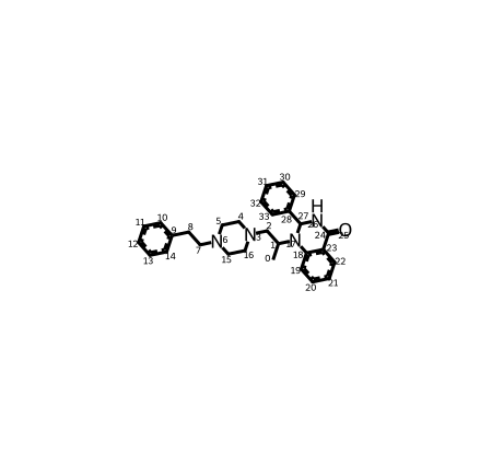 CC(CN1CCN(CCc2ccccc2)CC1)N1c2ccccc2C(=O)NC1c1ccccc1